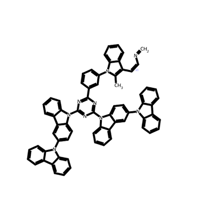 C=N/C=C\c1c(C)n(-c2cccc(-c3nc(-n4c5ccccc5c5cc(-n6c7ccccc7c7ccccc76)ccc54)nc(-n4c5ccccc5c5cc(-n6c7ccccc7c7ccccc76)ccc54)n3)c2)c2ccccc12